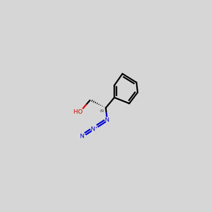 [N-]=[N+]=N[C@H](CO)c1ccccc1